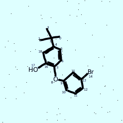 CC(C)(C)c1ccc(Oc2cccc(Br)c2)c(O)c1